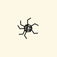 CC[C]12[CH]3[CH]4[CH]5[C]1(CC)[Fe]43521678[C]2(CC)[C]1(CC)[C]6(CC)[C]7(CC)[C]28CC